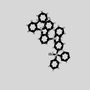 CC(C)(C)[Si](c1ccccc1)(c1ccccc1)c1ccc2c3ccccc3n(-c3cccc4c3c3ccccc3n4-c3ccccc3-c3ccccc3)c2c1